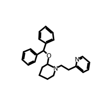 c1ccc(C(OC2CCCCN2CCc2ccccn2)c2ccccc2)cc1